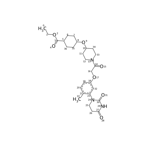 CCOC(=O)C1CCC(OC2CCN(C(=O)COc3ccc(C)c(N4CCC(=O)NC4=O)c3)CC2)CC1